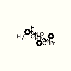 Cc1cccc(NC(=O)NCC(=O)N(CC(=O)N(c2ccccc2)C(C)C)c2ccccc2)c1